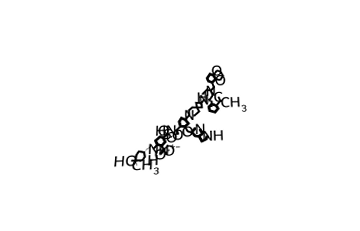 CC(C)c1ccccc1[C@@H]1CN(Cc2cccc3c2OCCO3)CCN1C1CC2(CCN(c3ccc(C(=O)NS(=O)(=O)c4ccc(NC[C@H]5CC[C@](C)(O)CC5)c([N+](=O)[O-])c4)c(Oc4cnc5[nH]ccc5c4)c3)CC2)C1